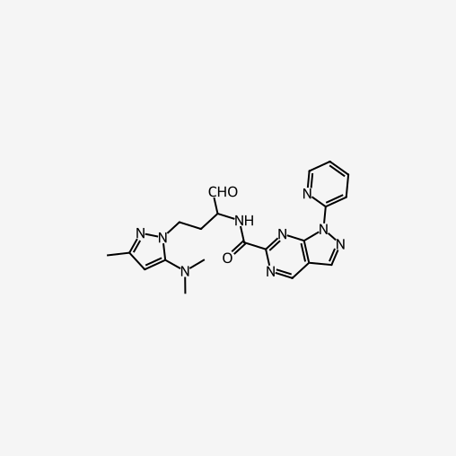 Cc1cc(N(C)C)n(CCC(C=O)NC(=O)c2ncc3cnn(-c4ccccn4)c3n2)n1